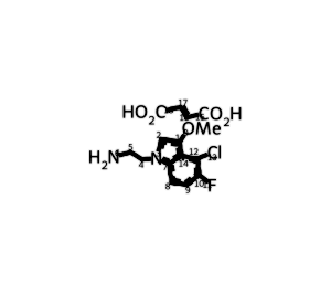 COc1cn(CCN)c2ccc(F)c(Cl)c12.O=C(O)C=CC(=O)O